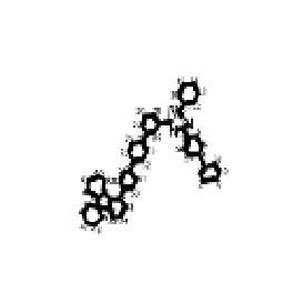 c1ccc(-c2ccc(-c3nc(-c4ccccc4)nc(-c4cccc(-c5ccc(-c6ccc(-c7cccc8c7-c7ccccc7C87CCCCC7)cc6)cc5)c4)n3)cc2)cc1